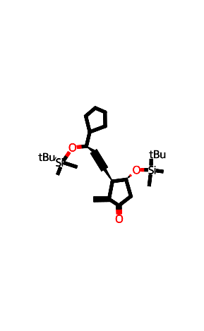 C=C1C(=O)C[C@@H](O[Si](C)(C)C(C)(C)C)[C@@H]1C#C[C@@H](O[Si](C)(C)C(C)(C)C)C1CCCC1